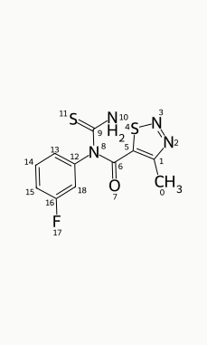 Cc1nnsc1C(=O)N(C(N)=S)c1cccc(F)c1